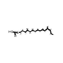 CCCC(C)CCCCCCCCCCCCC(=O)O